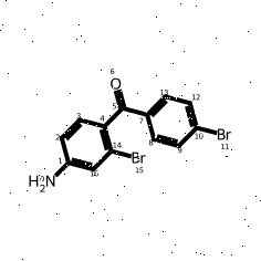 Nc1ccc(C(=O)c2ccc(Br)cc2)c(Br)c1